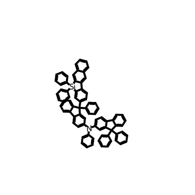 c1ccc(N(c2ccc3c(c2)C(c2ccccc2)(c2ccccc2)c2ccccc2-3)c2ccc3c(c2)C(c2ccccc2)(c2ccc4c(c2)[Si](c2ccccc2)(c2ccccc2)c2cc5ccccc5cc2-4)c2ccccc2-3)cc1